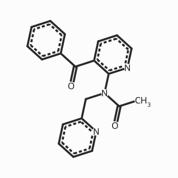 CC(=O)N(Cc1ccccn1)c1ncccc1C(=O)c1ccccc1